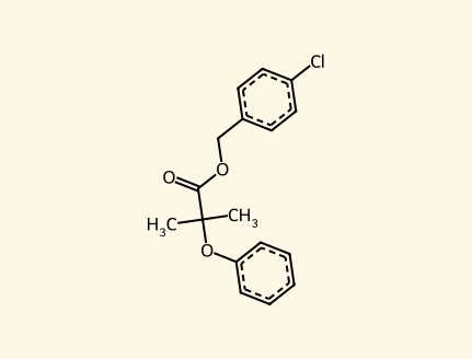 CC(C)(Oc1ccccc1)C(=O)OCc1ccc(Cl)cc1